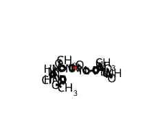 COc1cc(N2CCN(C(=O)CN3CCC(c4ccc5c(N6CCC(=O)NC6=O)nn(C)c5c4)CC3)CC2)ccc1Nc1ncc(Cl)c(Nc2ccccc2C(C)=O)n1